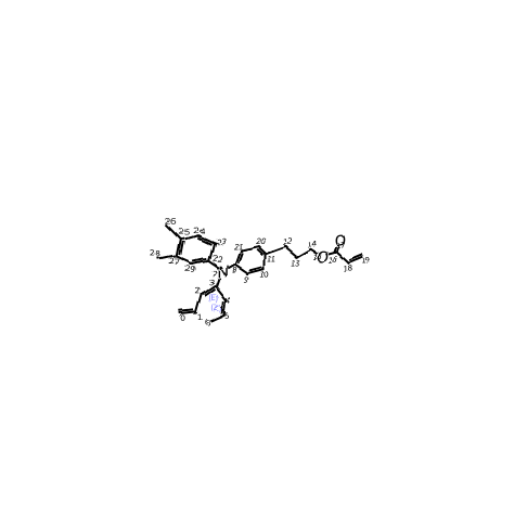 C=C/C=C(\C=C/C)N(c1ccc(CCCOC(=O)C=C)cc1)c1ccc(C)c(C)c1